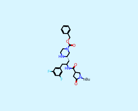 CCCCN1CC(C(=O)NC(Cc2cc(F)cc(F)c2)C[C@H]2CN(C(=O)OCc3ccccc3)CCN2)CC1=O